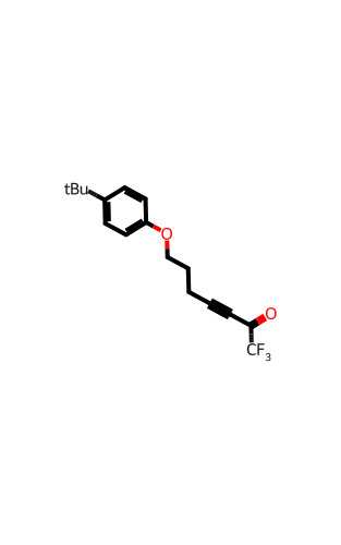 CC(C)(C)c1ccc(OCCCC#CC(=O)C(F)(F)F)cc1